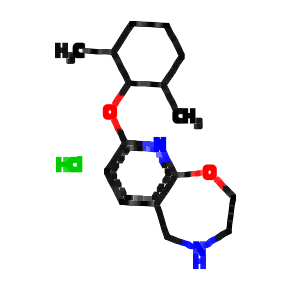 CC1CCCC(C)C1Oc1ccc2c(n1)OCCNC2.Cl